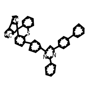 c1ccc(-c2ccc(-c3cc(-c4ccc(-c5cccc6c5Sc5ccccc5C65c6ccccc6-c6ccccc65)cc4)nc(-c4ccccc4)n3)cc2)cc1